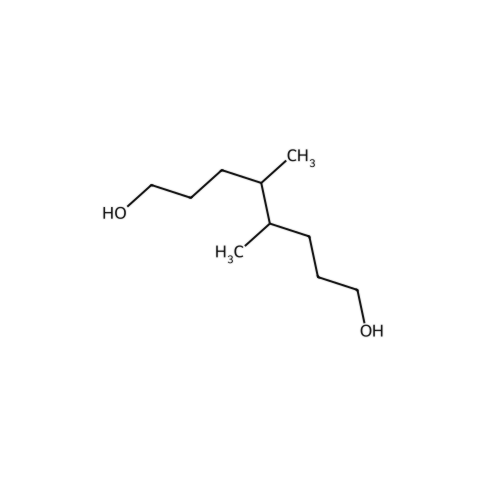 CC(CCCO)C(C)CCCO